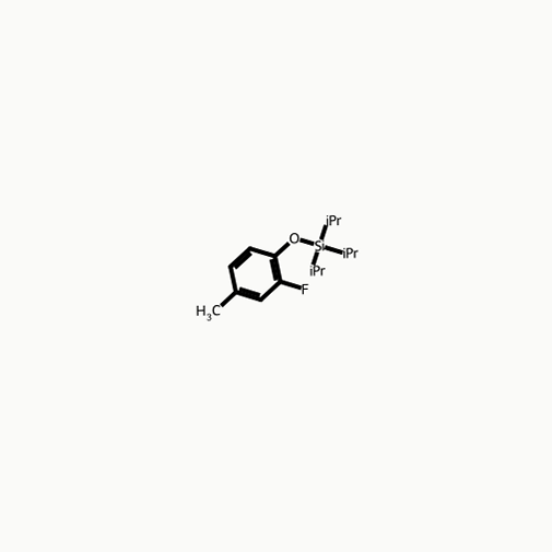 Cc1ccc(O[Si](C(C)C)(C(C)C)C(C)C)c(F)c1